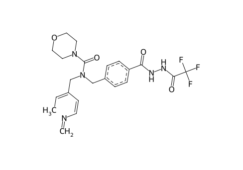 C=N/C=C\C(=C/C)CN(Cc1ccc(C(=O)NNC(=O)C(F)(F)F)cc1)C(=O)N1CCOCC1